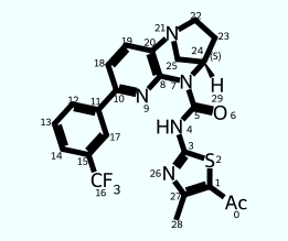 CC(=O)c1sc(NC(=O)N2c3nc(-c4cccc(C(F)(F)F)c4)ccc3N3CC[C@H]2C3)nc1C